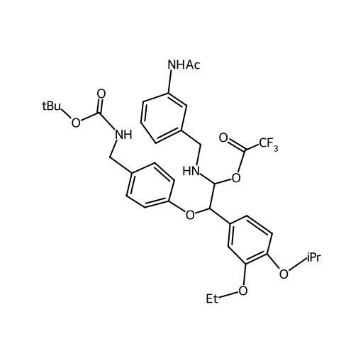 CCOc1cc(C(Oc2ccc(CNC(=O)OC(C)(C)C)cc2)C(NCc2cccc(NC(C)=O)c2)OC(=O)C(F)(F)F)ccc1OC(C)C